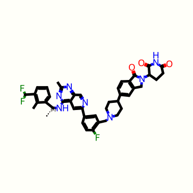 Cc1nc(N[C@H](C)c2cccc(C(F)F)c2C)c2cc(-c3ccc(F)c(CN4CCC(c5ccc6c(c5)CN(C5CCC(=O)NC5=O)C6=O)CC4)c3)ncc2n1